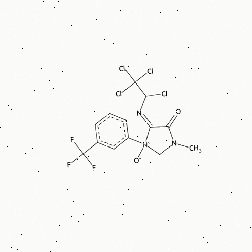 CN1C[N+]([O-])(c2cccc(C(F)(F)F)c2)C(=NC(Cl)C(Cl)(Cl)Cl)C1=O